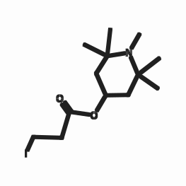 CN1C(C)(C)CC(OC(=O)CCI)CC1(C)C